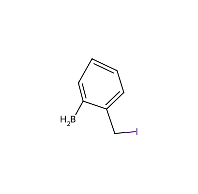 Bc1ccccc1CI